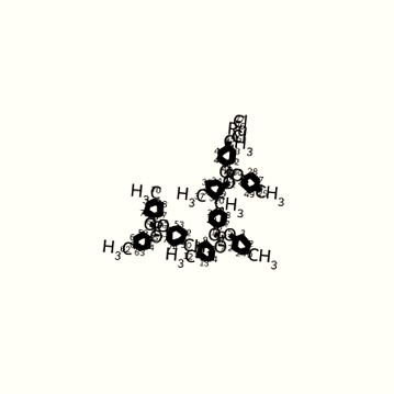 Cc1ccc(OP(Oc2ccc(C)cc2)Oc2ccc(C)cc2)cc1.Cc1ccc(OP(Oc2ccc(C)cc2)Oc2ccc(C)cc2)cc1.Cc1ccc(OP(Oc2ccc(C)cc2)Oc2ccc(C)cc2)cc1.[Cl][Ru][Cl]